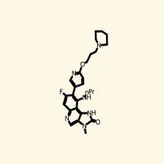 CCCNc1c(-c2ccc(OCCCN3CCCCC3)nc2)c(F)cc2ncc3c([nH]c(=O)n3C)c12